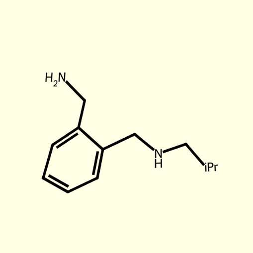 CC(C)CNCc1ccccc1CN